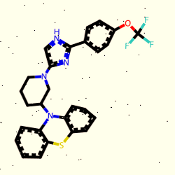 FC(F)(F)Oc1ccc(-c2nc(N3CCCC(N4c5ccccc5Sc5ccccc54)C3)c[nH]2)cc1